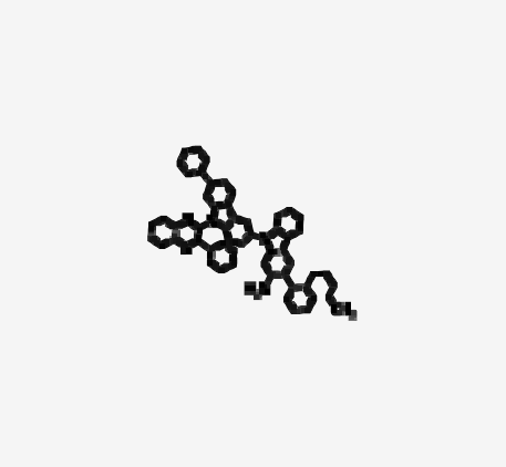 C=C/C=C\Cc1ccccc1-c1cc2c3ccccc3n(-c3ccc4c(c3)c3ccc(-c5ccccc5)cc3n4-c3nc4ccccc4nc3-c3ccccc3)c2cc1N